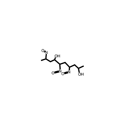 CC(O)CC(CC(N=O)C(O)CC(C)N=O)N=O